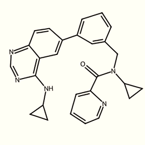 O=C(c1ccccn1)N(Cc1cccc(-c2ccc3ncnc(NC4CC4)c3c2)c1)C1CC1